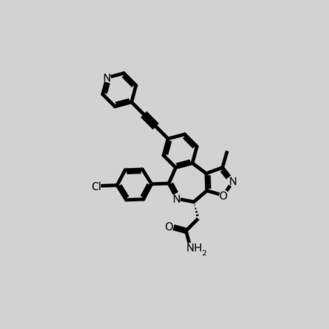 Cc1noc2c1-c1ccc(C#Cc3ccncc3)cc1C(c1ccc(Cl)cc1)=N[C@H]2CC(N)=O